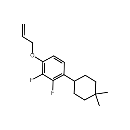 C=CCOc1ccc(C2CCC(C)(C)CC2)c(F)c1F